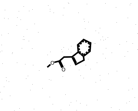 COC(=O)CC1=CCc2ccccc21